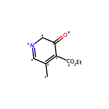 CCOC(=O)C1=C(C)C=NCC1=O